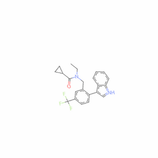 CCN(Cc1cc(C(F)(F)F)ccc1-c1c[nH]c2ccccc12)C(=O)C1CC1